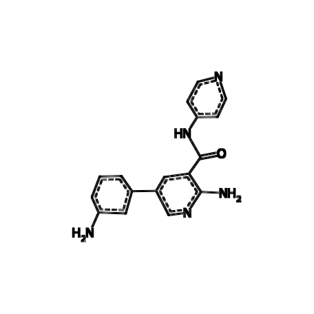 Nc1cccc(-c2cnc(N)c(C(=O)Nc3ccncc3)c2)c1